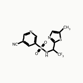 Cc1cnc(C(NS(=O)(=O)c2cncc(C#N)c2)C(F)(F)F)s1